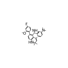 COc1cc(F)ccc1-c1ccc2c(c1C(N)c1cccc(N(C)C)c1)C(C)=CC(C)(C)N2